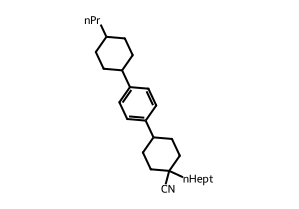 CCCCCCCC1(C#N)CCC(c2ccc(C3CCC(CCC)CC3)cc2)CC1